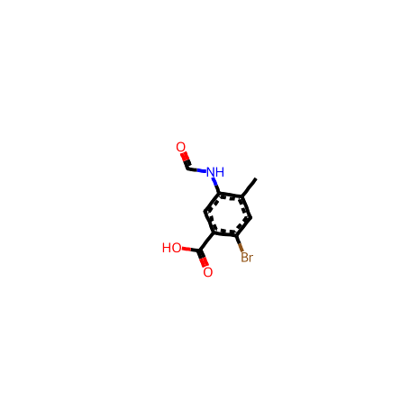 Cc1cc(Br)c(C(=O)O)cc1NC=O